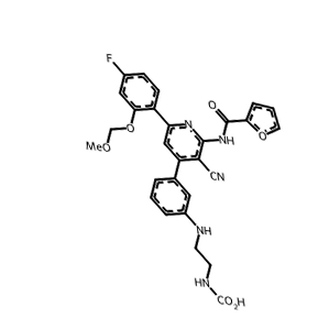 COCOc1cc(F)ccc1-c1cc(-c2cccc(NCCNC(=O)O)c2)c(C#N)c(NC(=O)c2ccco2)n1